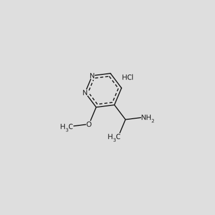 COc1nnccc1C(C)N.Cl